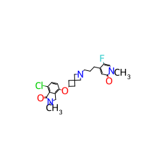 CN1Cc2c(OC3CC4(C3)CN(CCCc3cc(=O)n(C)cc3F)C4)ccc(Cl)c2C1=O